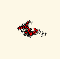 CCOC(=O)C1=C(Nc2ccccc2)S/C(=C\c2ccc(OCCCCn3cc(CCNC(=O)c4cc(NC(=O)Nc5ccc(C6=NCCN6)cc5)cc(NC(=O)Nc5ccc(C6=NCCN6)cc5)c4)nn3)c(O)c2)C1=O.O=C(O)C(F)(F)F